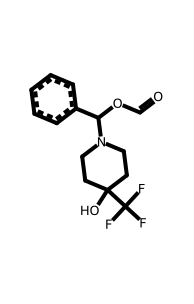 O=COC(c1ccccc1)N1CCC(O)(C(F)(F)F)CC1